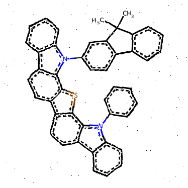 CC1(C)c2ccccc2-c2ccc(-n3c4ccccc4c4ccc5c6ccc7c8ccccc8n(-c8ccccc8)c7c6sc5c43)cc21